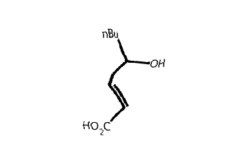 CCCCC(O)C=CC(=O)O